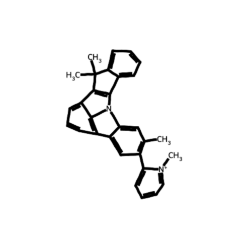 Cc1cc2c(cc1-c1cccc[n+]1C)c1cccc3c4c(n2c31)-c1ccccc1C4(C)C